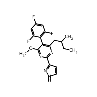 CCC(C)Cc1nc(-c2cc[nH]n2)nc(OC)c1-c1c(F)cc(F)cc1F